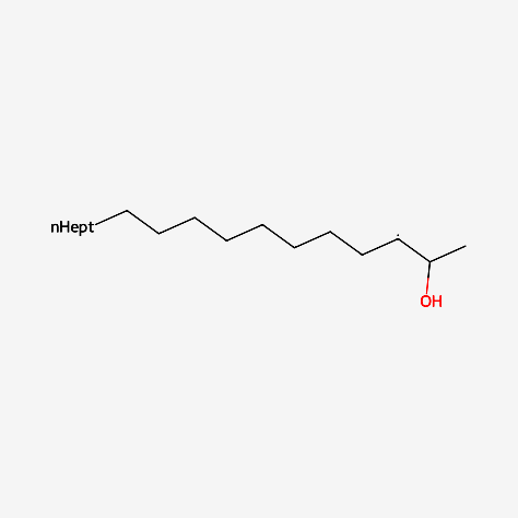 CCCCCCCCCCCCCCC[CH]C(C)O